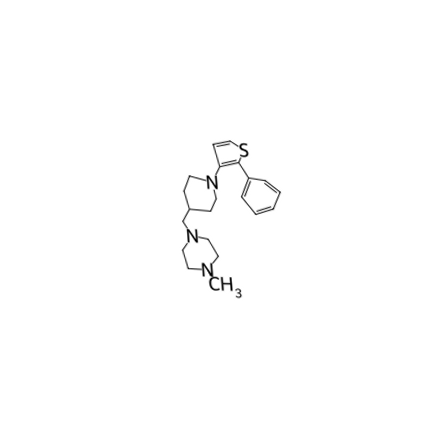 CN1CCN(CC2CCN(c3ccsc3-c3ccccc3)CC2)CC1